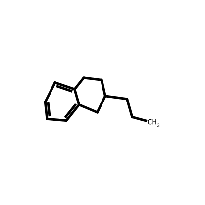 CCCC1CCc2ccccc2C1